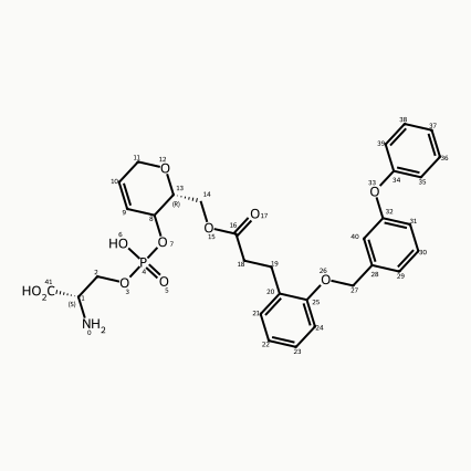 N[C@@H](COP(=O)(O)OC1C=CCO[C@@H]1COC(=O)CCc1ccccc1OCc1cccc(Oc2ccccc2)c1)C(=O)O